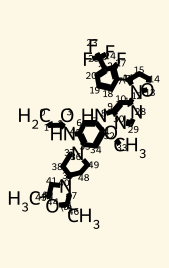 C=CC(=O)Nc1cc(Nc2cc(N3OCC[C@@H]3c3cccc(C(F)(F)F)c3F)ncn2)c(OC)cc1N1CCC(N2C[C@@H](C)O[C@@H](C)C2)CC1